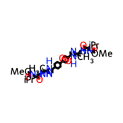 COC(=O)N[C@H](C(=O)CN[C@H](C)c1ncc(C2CCC(C3COC(c4cnc([C@H](C)CNC(=O)[C@@H](NC(=O)OC)C(C)C)[nH]4)CO3)CC2)[nH]1)C(C)C